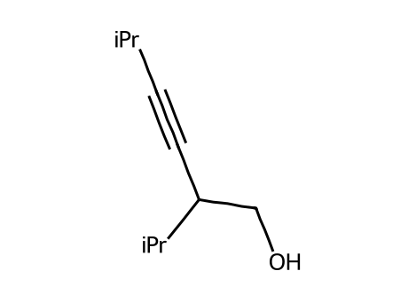 CC(C)C#CC(CO)C(C)C